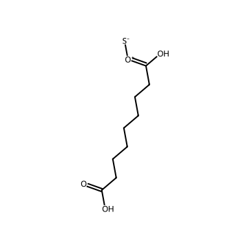 O=C(O)CCCCCCCC(O)=[O+][S-]